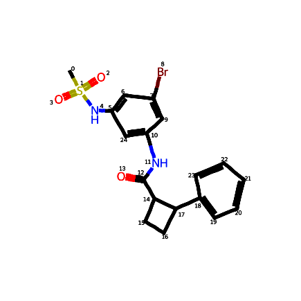 CS(=O)(=O)Nc1cc(Br)cc(NC(=O)C2CCC2c2ccccc2)c1